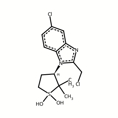 CC1(C)[C@H](n2c(CCl)nc3cc(Cl)ccc32)CCS1(O)O